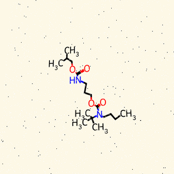 CCCCN(C(=O)OCCCNC(=O)OCC(C)C)C(C)(C)C